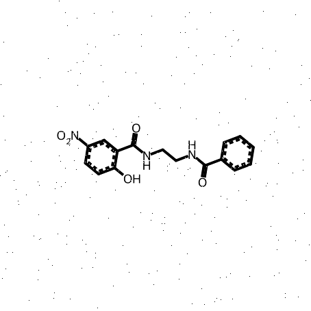 O=C(NCCNC(=O)c1cc([N+](=O)[O-])ccc1O)c1ccccc1